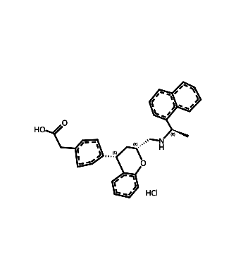 C[C@@H](NC[C@H]1C[C@@H](c2ccc(CC(=O)O)cc2)c2ccccc2O1)c1cccc2ccccc12.Cl